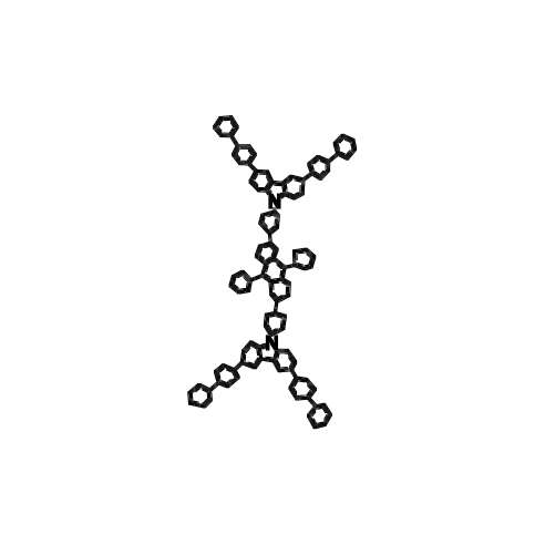 c1ccc(-c2ccc(-c3ccc4c(c3)c3cc(-c5ccc(-c6ccccc6)cc5)ccc3n4-c3ccc(-c4ccc5c(-c6ccccc6)c6cc(-c7ccc(-n8c9ccc(-c%10ccc(-c%11ccccc%11)cc%10)cc9c9cc(-c%10ccc(-c%11ccccc%11)cc%10)ccc98)cc7)ccc6c(-c6ccccc6)c5c4)cc3)cc2)cc1